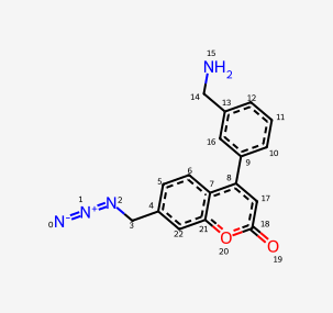 [N-]=[N+]=NCc1ccc2c(-c3cccc(CN)c3)cc(=O)oc2c1